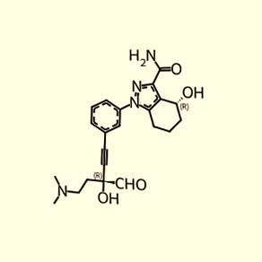 CN(C)CC[C@@](O)(C#Cc1cccc(-n2nc(C(N)=O)c3c2CCC[C@H]3O)c1)C=O